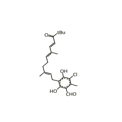 CC(/C=C/C(=O)C(C)(C)C)=C\CC/C(C)=C/Cc1c(O)c(Cl)c(C)c(C=O)c1O